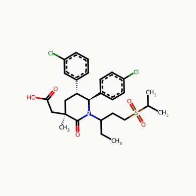 CCC(CCS(=O)(=O)C(C)C)N1C(=O)[C@@](C)(CC(=O)O)C[C@H](c2cccc(Cl)c2)[C@H]1c1ccc(Cl)cc1